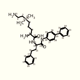 C[N+](C)(CCN)CCC[C@H](N)C(=O)N[C@H](CCc1ccccc1)C(=O)Nc1ccc(-c2ccccc2)cc1